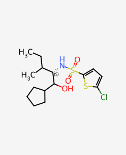 CCC(C)[C@H](NS(=O)(=O)c1ccc(Cl)s1)C(O)C1CCCC1